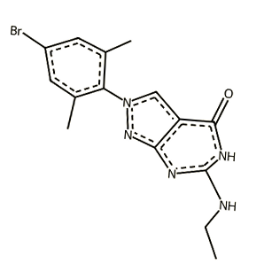 CCNc1nc2nn(-c3c(C)cc(Br)cc3C)cc2c(=O)[nH]1